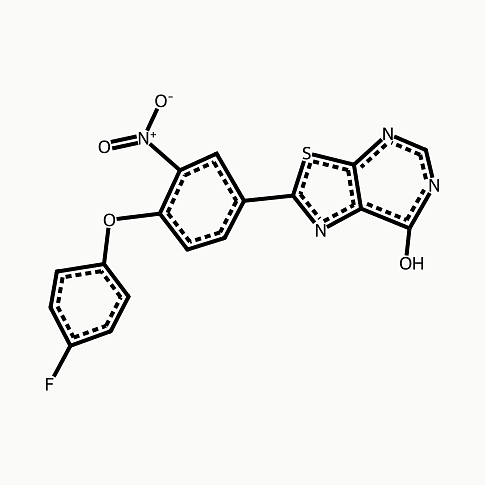 O=[N+]([O-])c1cc(-c2nc3c(O)ncnc3s2)ccc1Oc1ccc(F)cc1